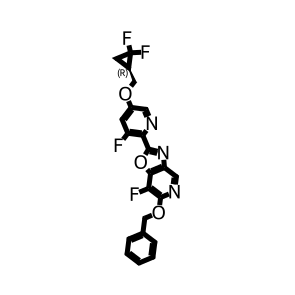 Fc1cc(OC[C@H]2CC2(F)F)cnc1-c1nc2cnc(OCc3ccccc3)c(F)c2o1